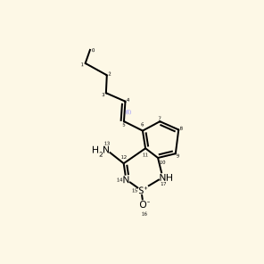 CCCC/C=C/c1cccc2c1C(N)=N[S+]([O-])N2